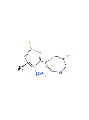 CC(C)c1cc(F)cc(-c2cncc(F)c2)c1N